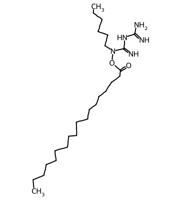 CCCCCCCCCCCCCCCCCC(=O)ON(CCCCCC)C(=N)NC(=N)N